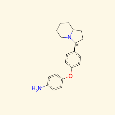 Nc1ccc(Oc2ccc([C@@H]3CCC4CCCCN43)cc2)cc1